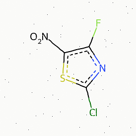 O=[N+]([O-])c1sc(Cl)nc1F